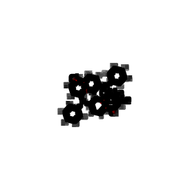 COC1(OC)C(Cl)=CC=C(P(c2ccccc2)c2ccccc2)[C@@H]1c1cc(Cl)ccc1P(c1ccccc1)c1ccccc1